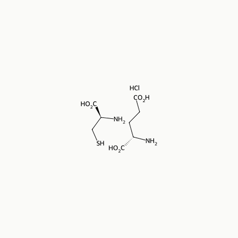 Cl.N[C@@H](CCC(=O)O)C(=O)O.N[C@@H](CS)C(=O)O